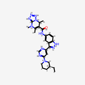 CC[C@H]1CCCN(c2cc(-c3n[nH]c4ccc(NC(=O)C5=C(C)N(C)c6nnnn6C5C)cc34)ncn2)C1